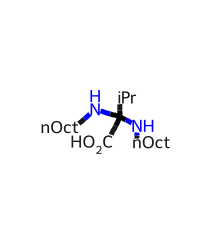 CCCCCCCCNC(NCCCCCCCC)(C(=O)O)C(C)C